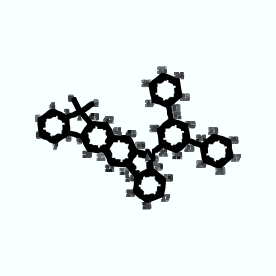 CC1(C)c2ccccc2-c2cc3cc4c5ccccc5n(-c5cc(-c6ccccc6)cc(-c6ccccc6)c5)c4cc3cc21